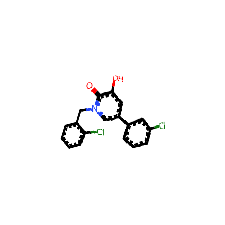 O=c1c(O)cc(-c2cccc(Cl)c2)cn1Cc1ccccc1Cl